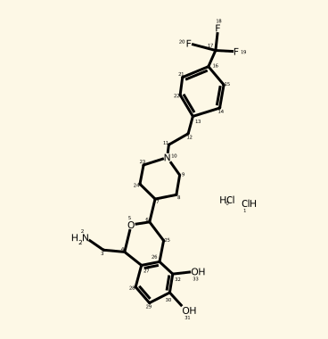 Cl.Cl.NCC1OC(C2CCN(CCc3ccc(C(F)(F)F)cc3)CC2)Cc2c1ccc(O)c2O